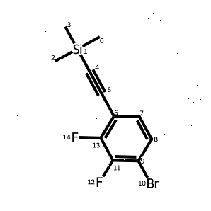 C[Si](C)(C)C#Cc1ccc(Br)c(F)c1F